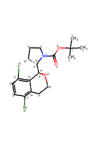 CC(C)(C)OC(=O)N1CCC[C@H]1[C@H]1OCCc2c(Br)ccc(F)c21